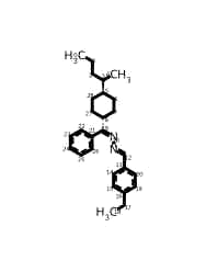 CCCC(C)[C@H]1CC[C@H](C(=NN=Cc2ccc(CC)cc2)c2ccccc2)CC1